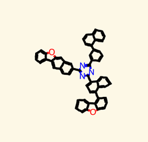 c1cc(-c2nc(-c3ccc4cc5c(cc4c3)oc3ccccc35)nc(-c3ccc(-c4cccc5oc6ccccc6c45)c4ccccc34)n2)cc(-c2cccc3ccccc23)c1